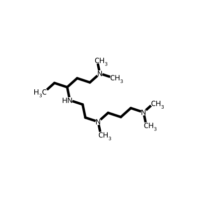 CCC(CCN(C)C)NCCN(C)CCCN(C)C